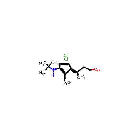 CC(CCO)=C1C=CC(NC(C)(C)C)=[C]1[Zr+2].[Cl-].[Cl-]